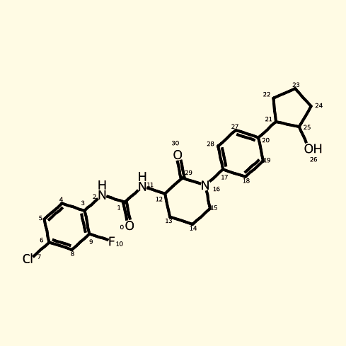 O=C(Nc1ccc(Cl)cc1F)NC1CCCN(c2ccc(C3CCCC3O)cc2)C1=O